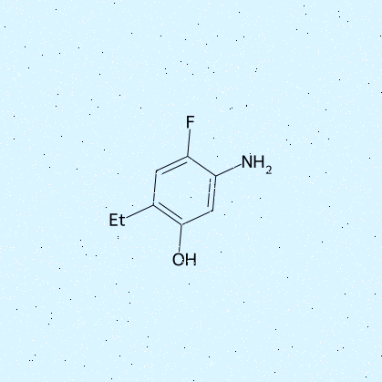 CCc1cc(F)c(N)cc1O